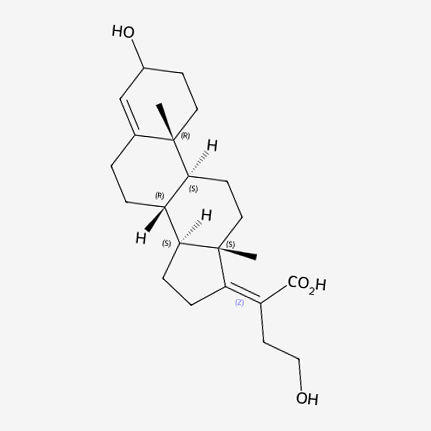 C[C@]12CCC(O)C=C1CC[C@@H]1[C@@H]2CC[C@]2(C)/C(=C(/CCO)C(=O)O)CC[C@@H]12